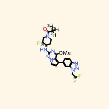 [2H]C([2H])([2H])C(=O)N1CC[C@H](Nc2nc(OC)c3c(-c4ccc5nnn(C[C@@H](C)F)c5c4)ccn3n2)[C@H](F)C1